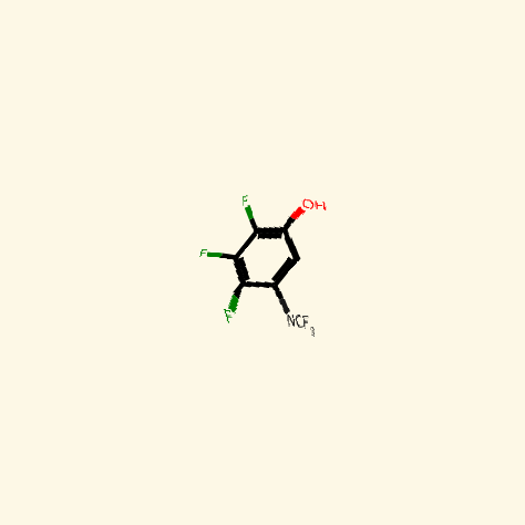 Oc1cc(NC(F)(F)F)c(F)c(F)c1F